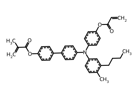 C=CC(=O)Oc1ccc(N(c2ccc(-c3ccc(OC(=O)C(=C)C)cc3)cc2)c2ccc(C)c(CCCC)c2)cc1